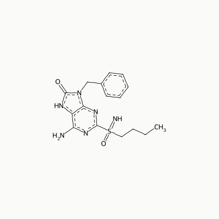 CCCCS(=N)(=O)c1nc(N)c2[nH]c(=O)n(Cc3ccccc3)c2n1